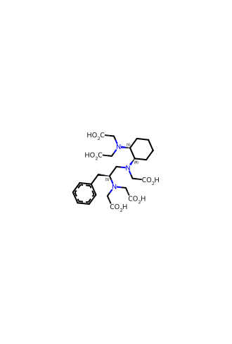 O=C(O)CN(CC(=O)O)[C@@H](Cc1ccccc1)CN(CC(=O)O)[C@@H]1CCCC[C@@H]1N(CC(=O)O)CC(=O)O